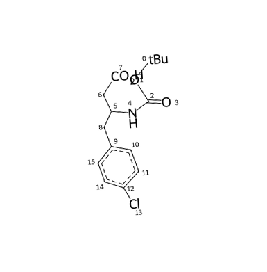 CC(C)(C)OC(=O)NC(CC(=O)O)Cc1ccc(Cl)cc1